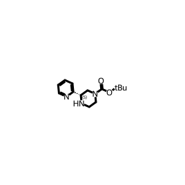 CC(C)(C)OC(=O)N1CCN[C@H](c2ccccn2)C1